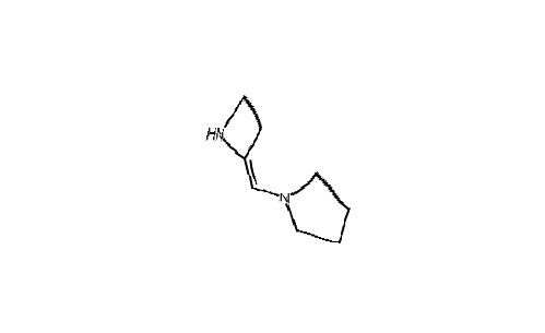 C(=C1CCN1)N1CCCC1